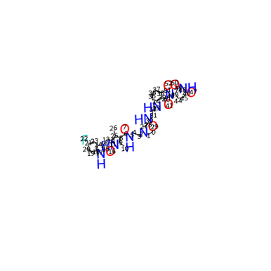 CCN(CCNC(=O)c1c(C)[nH]c(/C=C2\C(=O)Nc3ccc(F)cc32)c1C)CC(=O)NCCNc1cccc2c1C(=O)N(C1CCC(=O)NC1=O)C2=O